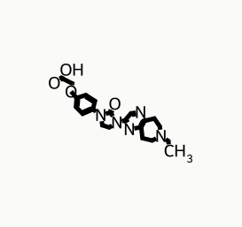 CCN1CCc2ncc(N3CCN(c4ccc(OCC(=O)O)cc4)C3=O)nc2CC1